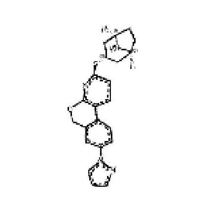 c1cnn(-c2ccc3c(c2)COc2nc(S[C@@H]4C[C@H]5CC[C@@H](C4)N5)ccc2-3)c1